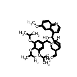 C=CC1C[N+]2(Cc3cc(OC(C)C)c(OC(C)C)c(OC(C)C)c3)CCC1C[C@H]2[C@H](O)c1ccnc2ccc(OC)cc12